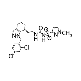 Cn1ccc(S(=O)(=O)NC(=O)NCC=C2CCCc3cnn(Cc4ccc(Cl)cc4Cl)c32)n1